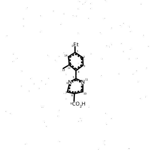 CCc1ccc(-c2ncc(C(=O)O)cn2)c(C)c1